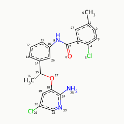 Cc1ccc(Cl)c(C(=O)Nc2cccc([C@@H](C)Oc3cc(Cl)cnc3N)c2)c1